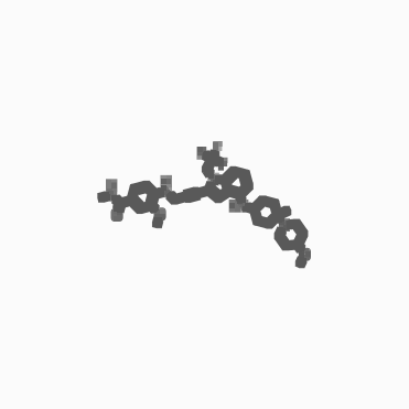 CNC(=O)c1ccc(NCC#Cc2cc3c(NC4CCC(C)(N5CCC(OC)CC5)CC4)cccc3n2CC(F)(F)F)c(OC)c1